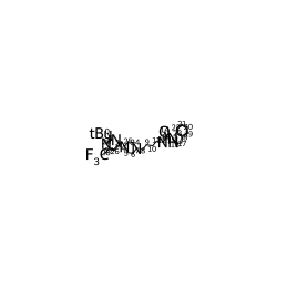 CC(C)(C)c1nc(N2CCN(CCCCNC(=O)N3CCc4ccccc43)CC2)cc(C(F)(F)F)n1